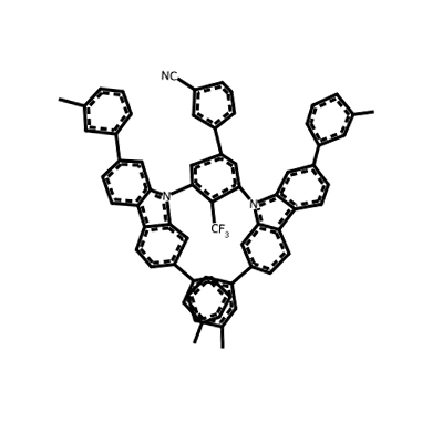 Cc1cccc(-c2ccc3c4ccc(-c5cccc(C)c5)cc4n(-c4cc(-c5cccc(C#N)c5)cc(-n5c6cc(-c7cccc(C)c7)ccc6c6ccc(-c7cccc(C)c7)cc65)c4C(F)(F)F)c3c2)c1